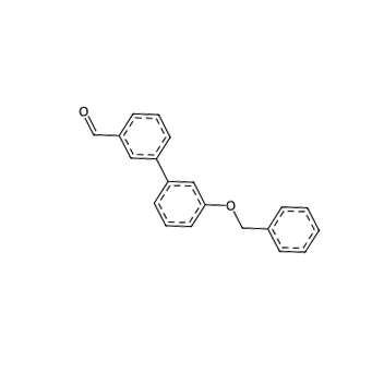 O=Cc1cccc(-c2cccc(OCc3ccccc3)c2)c1